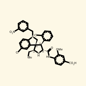 COc1cc(C(=O)O)ccc1NC(=O)[C@@H]1N[C@@H](CC(C)(C)C)[C@@]2(CN(Cc3cccc([N+](=O)[O-])c3)c3ccc(Cl)cc32)[C@H]1c1ccccc1Cl